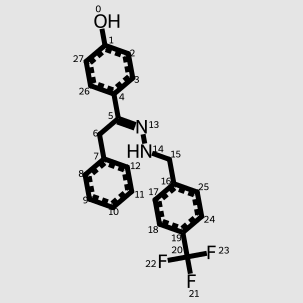 Oc1ccc(C(Cc2ccccc2)=NNCc2ccc(C(F)(F)F)cc2)cc1